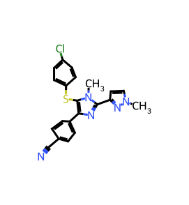 Cn1ccc(-c2nc(-c3ccc(C#N)cc3)c(Sc3ccc(Cl)cc3)n2C)n1